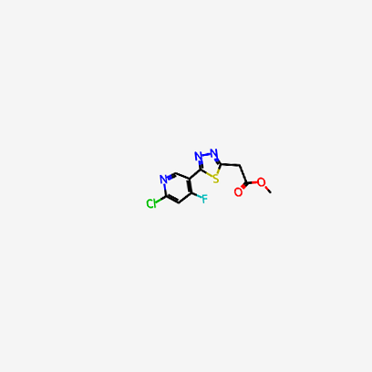 COC(=O)Cc1nnc(-c2cnc(Cl)cc2F)s1